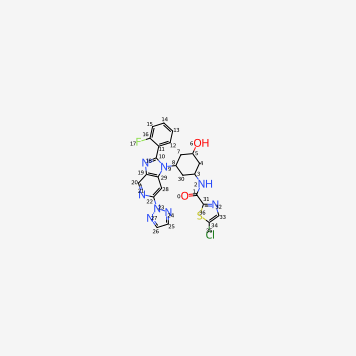 O=C(NC1CC(O)CC(n2c(-c3ccccc3F)nc3cnc(-n4nccn4)cc32)C1)c1ncc(Cl)s1